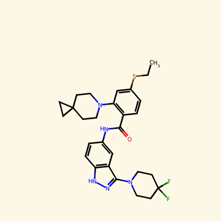 CCSc1ccc(C(=O)Nc2ccc3[nH]nc(N4CCC(F)(F)CC4)c3c2)c(N2CCC3(CC2)CC3)c1